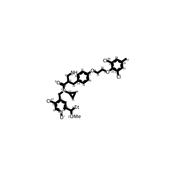 CCC(OC)c1cc(CN(C(=O)C(CN)Cc2ccc(OCCOc3c(Cl)cc(C)cc3Cl)cc2)C2CC2)c(Cl)c[n+]1[O-]